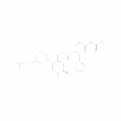 CCNC(=O)Nc1cc(-c2nc(C(F)(F)F)cs2)c(-c2ccc3c(c2)c(=O)c(C(=O)OCC)cn3[C@H]2CCCN(CCN(CC)CC)C2)cn1